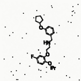 CC(C)Oc1ccc(F)cc1OCCNCc1cccc(OC2CCCC2)c1